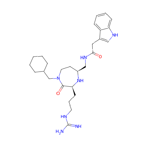 N=C(N)NCCC[C@@H]1N[C@H](CNC(=O)Cc2c[nH]c3ccccc23)CCN(CC2CCCCC2)C1=O